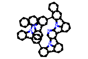 c1ccc(-n2c3ccccc3c3cc(-c4cccc5c6cccc7c8c9c%10cccc%11c%12cc%13ccccc%13c(-c%13ccc%14c(c%13)c%13ccccc%13n%14-c%13ccccc%13)c%12n(c9ncc8n(c45)c67)c%11%10)ccc32)cc1